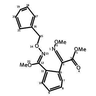 CON=C(C(=O)OC)c1ccccc1C(=NOCc1ccccc1)OC